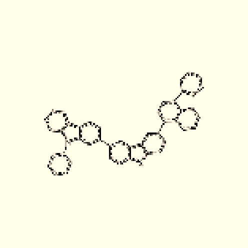 c1ccc(-n2c3ccccc3c3ccc(-c4ccc5sc6ccc(-c7ccc8c9c(cccc79)-c7ccccc7-8)cc6c5c4)cc32)cc1